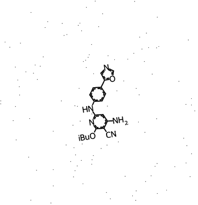 CC(C)COc1nc(Nc2ccc(-c3cnco3)cc2)cc(N)c1C#N